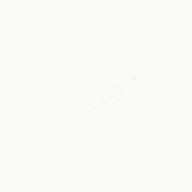 Cn1c(=O)n(CC(C)(C)C)c2ccc(-c3ccc(CO)cc3)nc21